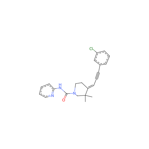 CC1(C)CN(C(=O)Nc2ccccn2)CC/C1=C\C#Cc1cccc(Cl)c1